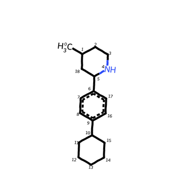 CC1CCNC(c2ccc(C3CCCCC3)cc2)C1